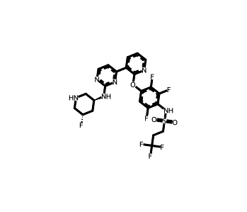 O=S(=O)(CCC(F)(F)F)Nc1c(F)cc(Oc2ncccc2-c2ccnc(N[C@@H]3CNC[C@@H](F)C3)n2)c(F)c1F